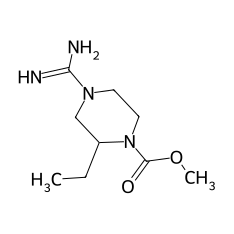 CCC1CN(C(=N)N)CCN1C(=O)OC